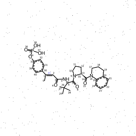 C/C(=C\C(=O)N[C@H](C(=O)N1CCC[C@H]1C(=O)N1CCCc2ccccc21)C(C)(C)C)c1ccc(OP(=O)(O)O)cc1